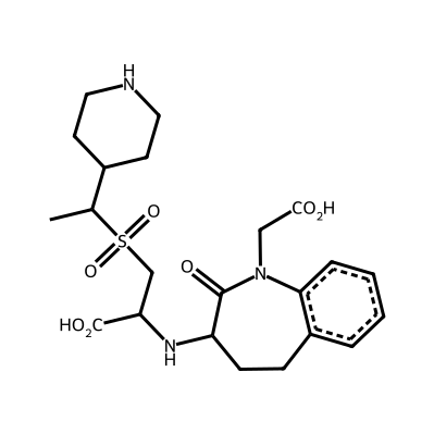 CC(C1CCNCC1)S(=O)(=O)CC(NC1CCc2ccccc2N(CC(=O)O)C1=O)C(=O)O